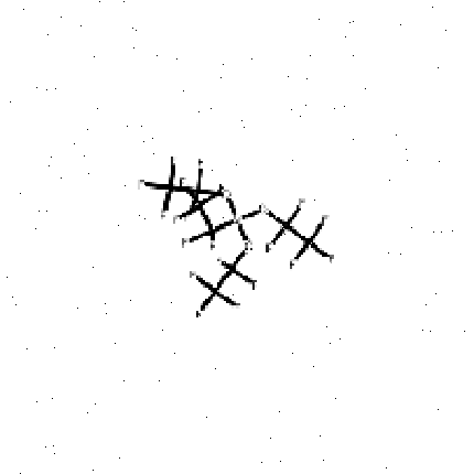 FC(F)(F)C(F)(F)O[Si](OC(F)(F)C(F)(F)F)(OC(F)(F)C(F)(F)F)C(F)(F)C(F)(F)F